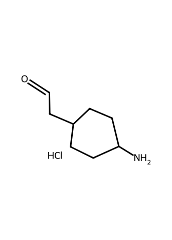 Cl.NC1CCC(CC=O)CC1